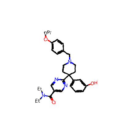 CCCOc1ccc(CN2CCC(c3cccc(O)c3)(c3ncc(C(=O)N(CC)CC)cn3)CC2)cc1